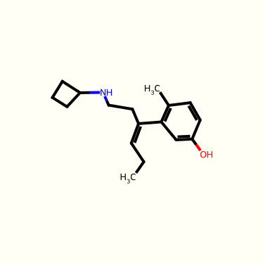 CC/C=C(/CCNC1CCC1)c1cc(O)ccc1C